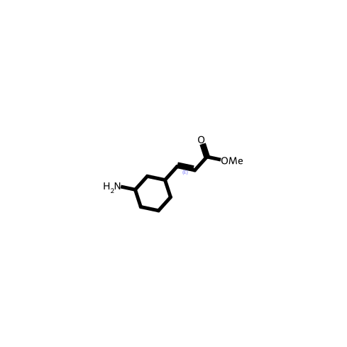 COC(=O)/C=C/C1CCCC(N)C1